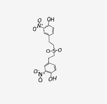 O=[N+]([O-])c1cc(CCS(=O)(=O)CCc2ccc(O)c([N+](=O)[O-])c2)ccc1O